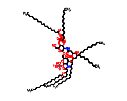 CCCCCC/C=C\CCCCCCCCOC(CCCCCCCCCCC)CC(=O)NC1[C@H](OCC2OC(OP(=O)(O)O)C(NC(=O)CC(CCCCCCCCCCC)OC(=O)CCCCCCCCCCCCCCC)[C@@H](OC(=O)CC(O)CCCCCCCCCCC)[C@@H]2O)OC(CO)C(OP(=O)(O)O)[C@@H]1OC(=O)CC(CCCCCCCCCCC)OC(=O)CCCCCCCCCCCCCCCC